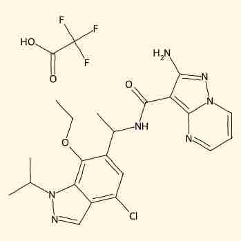 CCOc1c(C(C)NC(=O)c2c(N)nn3cccnc23)cc(Cl)c2cnn(C(C)C)c12.O=C(O)C(F)(F)F